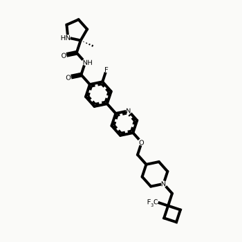 C[C@@]1(C(=O)NC(=O)c2ccc(-c3ccc(OCC4CCN(CC5(C(F)(F)F)CCC5)CC4)cn3)cc2F)CCCN1